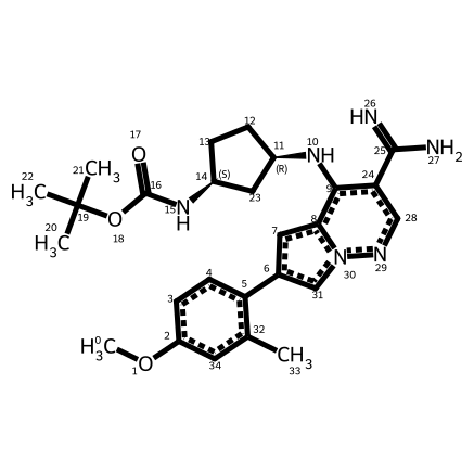 COc1ccc(-c2cc3c(N[C@@H]4CC[C@H](NC(=O)OC(C)(C)C)C4)c(C(=N)N)cnn3c2)c(C)c1